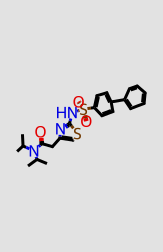 CC(C)N(C(=O)Cc1csc(NS(=O)(=O)c2ccc(-c3ccccc3)cc2)n1)C(C)C